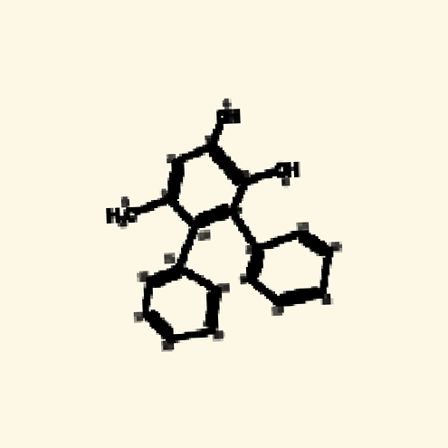 Cc1cc(O)c(O)c(-c2ccccc2)c1-c1ccccc1